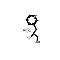 N[C@](CO)(Cc1cccnc1)C(=O)O